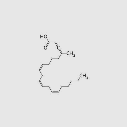 CCCCC/C=C\C/C=C\C/C=C\CCCC(C)=C=CC(=O)O